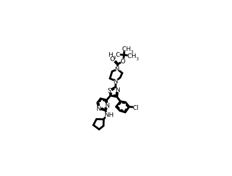 CC(C)(C)OC(=O)N1CCN(c2nc(-c3cccc(Cl)c3)c(-c3ccnc(NC4CCCC4)n3)s2)CC1